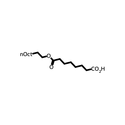 CCCCCCCCCCOC(=O)CCCCCCC(=O)O